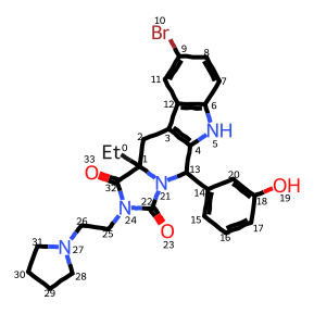 CCC12Cc3c([nH]c4ccc(Br)cc34)C(c3cccc(O)c3)N1C(=O)N(CCN1CCCC1)C2=O